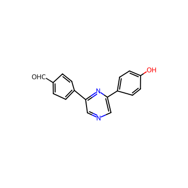 O=Cc1ccc(-c2cncc(-c3ccc(O)cc3)n2)cc1